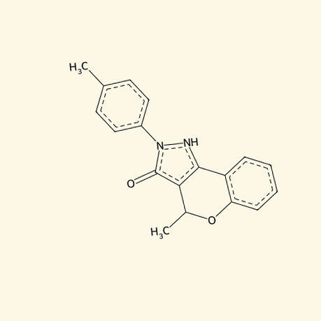 Cc1ccc(-n2[nH]c3c(c2=O)C(C)Oc2ccccc2-3)cc1